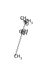 CCCCCCCCCCCCCCCCCCNC(=O)NCCCCCC(=O)N(C)CCCC